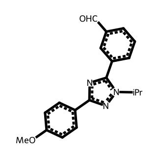 COc1ccc(-c2nc(-c3cccc(C=O)c3)n(C(C)C)n2)cc1